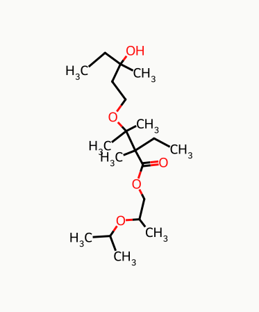 CCC(C)(O)CCOC(C)(C)C(C)(CC)C(=O)OCC(C)OC(C)C